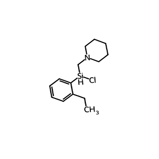 CCc1ccccc1[SiH](Cl)CN1CCCCC1